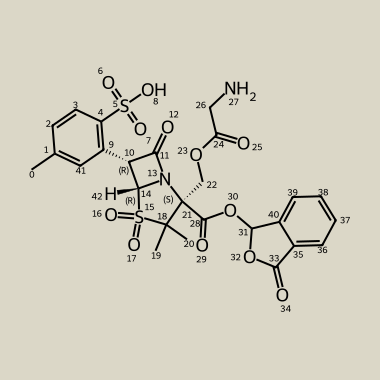 Cc1ccc(S(=O)(=O)O)c([C@@H]2C(=O)N3[C@@H]2S(=O)(=O)C(C)(C)[C@]3(COC(=O)CN)C(=O)OC2OC(=O)c3ccccc32)c1